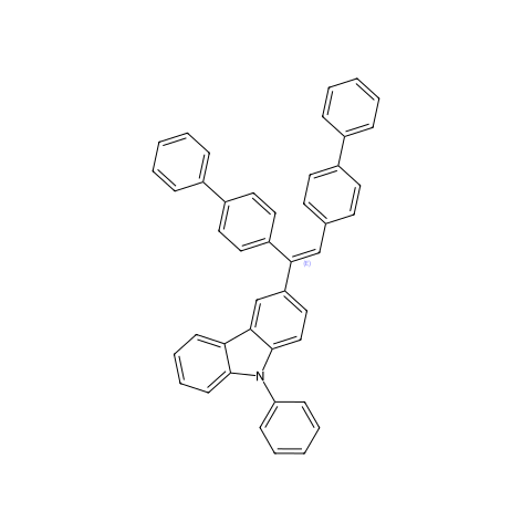 C(=C(/c1ccc(-c2ccccc2)cc1)c1ccc2c(c1)c1ccccc1n2-c1ccccc1)/c1ccc(-c2ccccc2)cc1